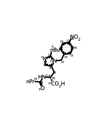 CCCCc1ncc(C[C@H](NC(=O)CCC)C(=O)O)n1Cc1ccc([N+](=O)[O-])cc1